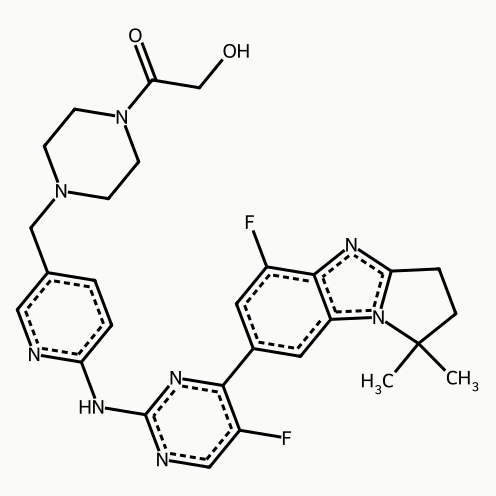 CC1(C)CCc2nc3c(F)cc(-c4nc(Nc5ccc(CN6CCN(C(=O)CO)CC6)cn5)ncc4F)cc3n21